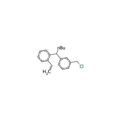 C=Cc1ccccc1C(CCCC)c1cccc(CCl)c1